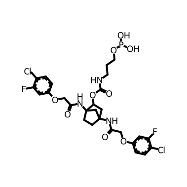 O=C(COc1ccc(Cl)c(F)c1)NC12CCC(NC(=O)COc3ccc(Cl)c(F)c3)(C1)C(OC(=O)NCCCOP(O)O)C2